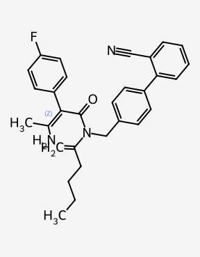 C=C(CCCC)N(Cc1ccc(-c2ccccc2C#N)cc1)C(=O)/C(=C(/C)N)c1ccc(F)cc1